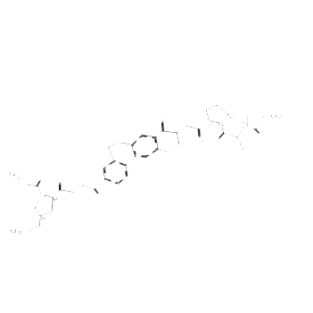 COC[C@@H]1C[C@H](C(=O)OCC(=O)c2ccc3c(c2)COc2cc4c(cc2-3)CCC(OC(=O)[C@@H]2CC[C@H](C)N2C(=O)[C@@H](NC(=O)OC)C(C)C)C4=O)N(C(=O)OC(C)(C)C)C1